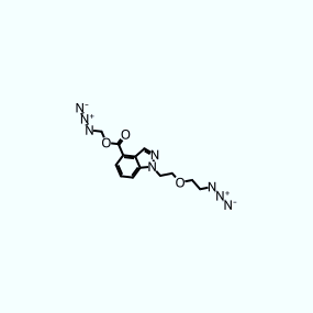 [N-]=[N+]=NCCOCCn1ncc2c(C(=O)OCN=[N+]=[N-])cccc21